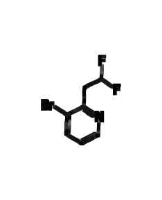 FC(F)Cc1ncccc1Br